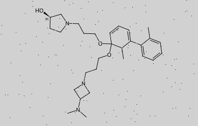 Cc1ccccc1C1=CC=CC(OCCCN2CC(N(C)C)C2)(OCCCN2CC[C@@H](O)C2)C1C